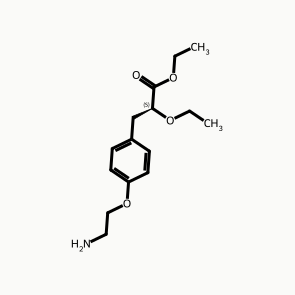 CCOC(=O)[C@H](Cc1ccc(OCCN)cc1)OCC